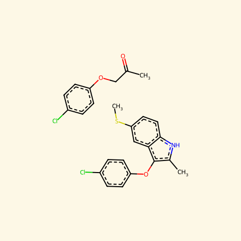 CC(=O)COc1ccc(Cl)cc1.CSc1ccc2[nH]c(C)c(Oc3ccc(Cl)cc3)c2c1